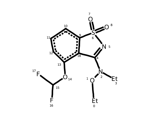 CCON(CC)C1=NS(=O)(=O)c2cccc(OC(F)F)c21